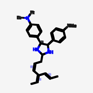 C/C=C(\C=C/CC1NC(c2ccc(NC)cc2)[C@H](c2ccc(N(CC)CC)cc2)N1)/C=C/C